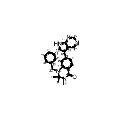 CC1(C)NC(=O)c2ccc(-c3c[nH]c4ncncc34)cc2N1Cc1ccccc1